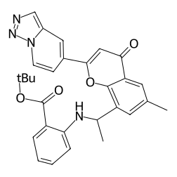 Cc1cc(C(C)Nc2ccccc2C(=O)OC(C)(C)C)c2oc(-c3ccn4nncc4c3)cc(=O)c2c1